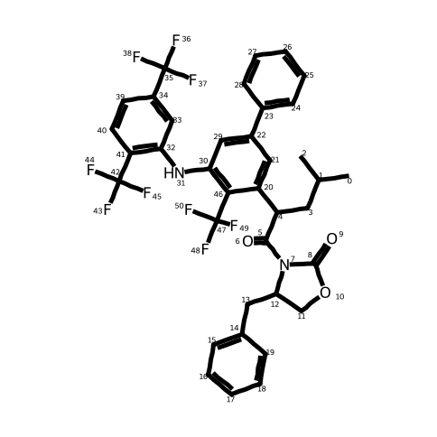 CC(C)CC(C(=O)N1C(=O)OCC1Cc1ccccc1)c1cc(-c2ccccc2)cc(Nc2cc(C(F)(F)F)ccc2C(F)(F)F)c1C(F)(F)F